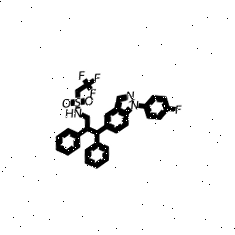 O=S(=O)(CC(F)(F)F)NCC(c1ccccc1)C(c1ccccc1)c1ccc2c(cnn2-c2ccc(F)cc2)c1